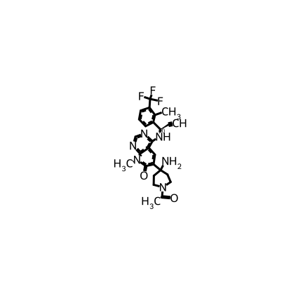 C#C[C@@H](Nc1ncnc2c1cc(C1(N)CCN(C(C)=O)CC1)c(=O)n2C)c1cccc(C(F)(F)F)c1C